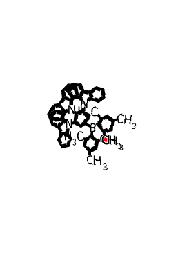 Cc1cc(C)c(B(c2cc(-n3c4ccccc4c4ccccc43)c(-n3c4ccccc4c4ccccc43)c(-n3c4ccccc4c4ccccc43)c2)c2c(C)cc(C)cc2C)c(C)c1